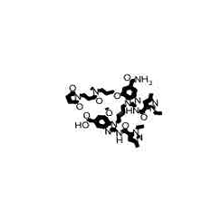 CCn1nc(C)cc1C(=O)Nc1nc2cc(C(=O)O)cc(OC)c2n1C/C=C/Cn1c(NC(=O)c2cc(C)nn2CC)nc2cc(C(N)=O)cc(OCCCN(C)C(=O)CCN3C(=O)C=CC3=O)c21